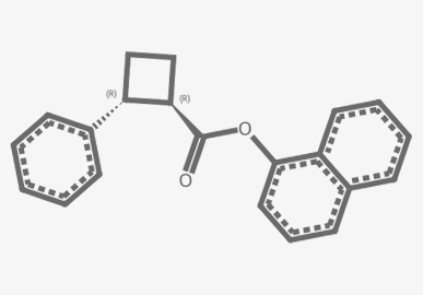 O=C(Oc1cccc2ccccc12)[C@@H]1CC[C@H]1c1ccccc1